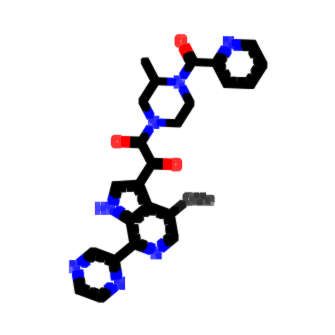 COc1cnc(-c2cnccn2)c2[nH]cc(C(=O)C(=O)N3CCN(C(=O)c4ccccn4)C(C)C3)c12